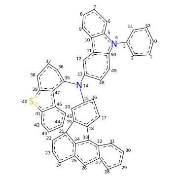 c1ccc(-n2c3ccccc3c3cc(N(c4ccc5c(c4)-c4cccc6cc7ccccc7c-5c46)c4cccc5sc6ccccc6c45)ccc32)cc1